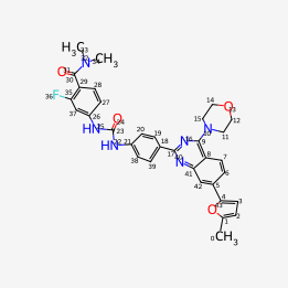 Cc1ccc(-c2ccc3c(N4CCOCC4)nc(-c4ccc(NC(=O)Nc5ccc(C(=O)N(C)C)c(F)c5)cc4)nc3c2)o1